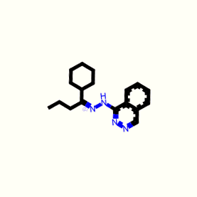 CCC/C(=N/Nc1nncc2ccccc12)C1CCCCC1